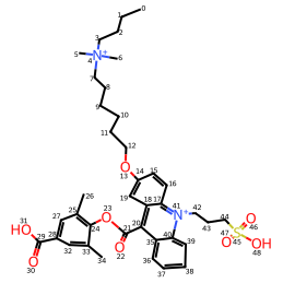 CCCC[N+](C)(C)CCCCCCOc1ccc2c(c1)c(C(=O)Oc1c(C)cc(C(=O)O)cc1C)c1ccccc1[n+]2CCCS(=O)(=O)O